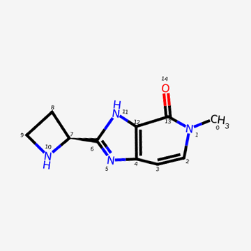 Cn1ccc2nc([C@@H]3CCN3)[nH]c2c1=O